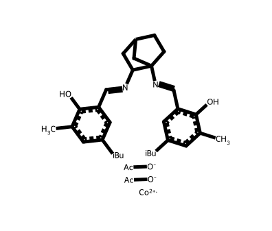 CC(=O)[O-].CC(=O)[O-].CCC(C)c1cc(C)c(O)c(C=NC2CC3CCC2(N=Cc2cc(C(C)CC)cc(C)c2O)C3)c1.[Co+2]